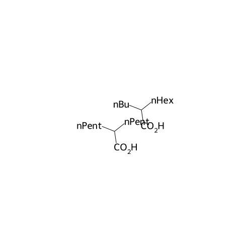 CCCCCC(CCCCC)C(=O)O.CCCCCCC(CCCC)C(=O)O